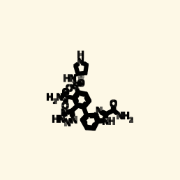 NC(=O)c1nc2c(-c3ccc(S(=O)(=O)N[C@H]4CCNC4)c(S(N)(=O)=O)c3-c3nn[nH]n3)cccc2[nH]1